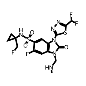 CNCn1c(=O)n(-c2nnc(C(F)F)s2)c2cc(S(=O)(=O)NC3(CF)CC3)c(F)cc21